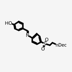 CCCCCCCCCCCCS(=O)(=O)c1ccc(N=Cc2ccc(O)cc2)cc1